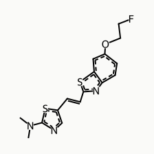 CN(C)c1ncc(C=Cc2nc3ccc(OCCF)cc3s2)s1